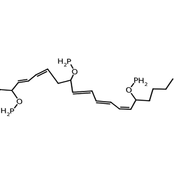 CCCCC(\C=C/C=C/C=C/C(C/C=C\C=C\C(CC)OP)OP)OP